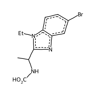 CCn1c(C(C)NC(=O)O)nc2cc(Br)ccc21